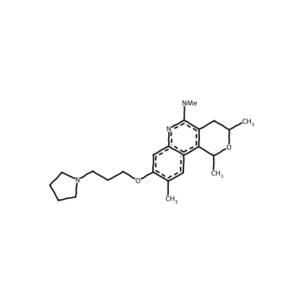 CNc1nc2cc(OCCCN3CCCC3)c(C)cc2c2c1CC(C)OC2C